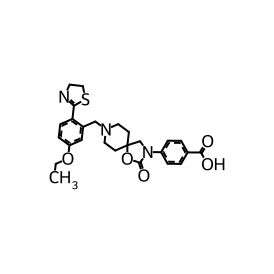 CCOc1ccc(C2=NCCS2)c(CN2CCC3(CC2)CN(c2ccc(C(=O)O)cc2)C(=O)O3)c1